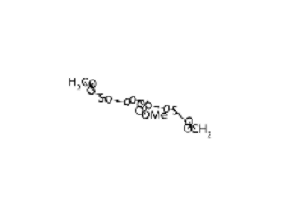 C=CC(=O)OCCCCCSc1ccc(C#Cc2ccc(OCc3ccc4cc(C#Cc5ccc(SCCCOC(=O)C=C)cc5)ccc4c3)c(C(=O)OC)c2)cc1